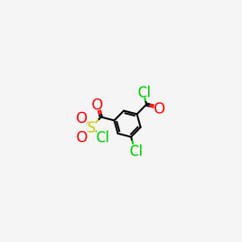 O=C(Cl)c1cc(Cl)cc(C(=O)S(=O)(=O)Cl)c1